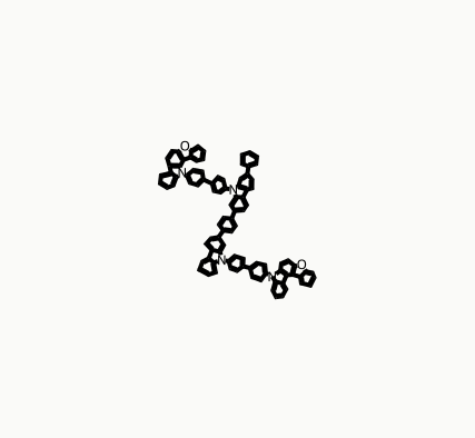 c1ccc(-c2ccc3c4ccc(-c5ccc(-c6ccc7c8ccccc8n(-c8ccc(-c9ccc(-n%10c%11ccccc%11c%11c%12c(ccc%11%10)oc%10ccccc%10%12)cc9)cc8)c7c6)cc5)cc4n(-c4ccc(-c5ccc(-n6c7ccccc7c7ccc8oc9ccccc9c8c76)cc5)cc4)c3c2)cc1